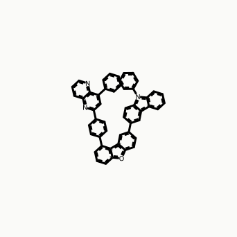 c1ccc(-c2cc(-c3ccc(-c4cccc5oc6ccc(-c7ccc8c(c7)c7ccccc7n8-c7ccccc7)cc6c45)cc3)nc3cccnc23)cc1